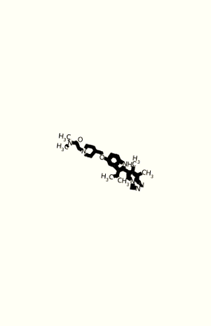 Cc1c(-c2[nH]c3ccc(OCC4CCN(CC(=O)N(C)C)CC4)cc3c2C(C)C)cn2cnnc2c1C